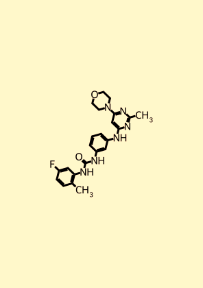 Cc1nc(Nc2cccc(NC(=O)Nc3cc(F)ccc3C)c2)cc(N2CCOCC2)n1